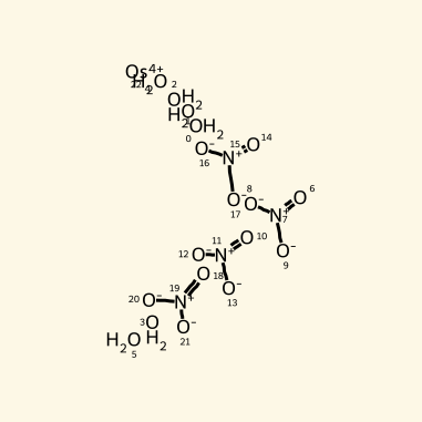 O.O.O.O.O.O.O=[N+]([O-])[O-].O=[N+]([O-])[O-].O=[N+]([O-])[O-].O=[N+]([O-])[O-].[Os+4]